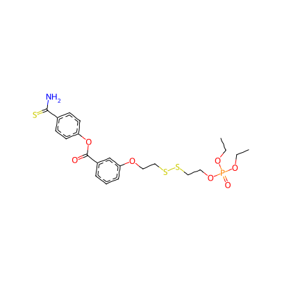 CCOP(=O)(OCC)OCCSSCCOc1cccc(C(=O)Oc2ccc(C(N)=S)cc2)c1